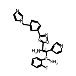 N/C(=C(/c1ccncc1)N(N)c1ccccc1F)c1nc(-c2cccc(Cn3ccnc3)c2)no1